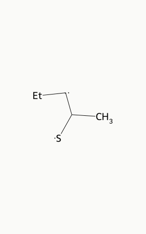 CC[CH]C(C)[S]